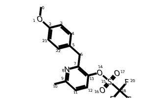 COc1ccc(Cc2nc(C)ccc2OS(=O)(=O)C(F)(F)F)cc1